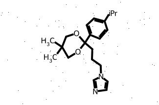 CC(C)c1ccc(C2(CCCn3ccnc3)OCC(C)(C)CO2)cc1